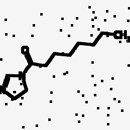 CCCCCCCC(=O)N1C=NCC1